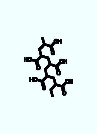 CCC(CC(CC(CC(CC(C)C(=O)O)C(=O)O)C(=O)O)C(=O)O)C(=O)O